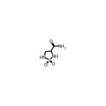 NC(=O)C1CNS(=O)(=O)N1